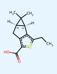 CCc1sc(C(=O)O)c2c1[C@H]1[C@@H](C2)C1(C)C